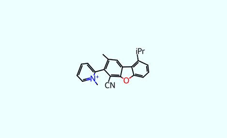 Cc1cc2c(oc3cccc(C(C)C)c32)c(C#N)c1-c1cccc[n+]1C